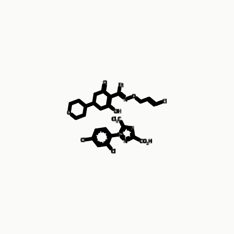 CC/C(=N\OC/C=C/Cl)C1=C(O)CC(C2CCOCC2)CC1=O.O=C(O)c1nc(C(Cl)(Cl)Cl)n(-c2ccc(Cl)cc2Cl)n1